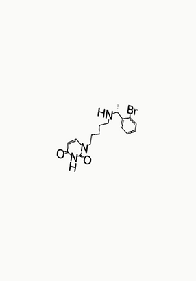 C[C@@H](NCCCCCn1ccc(=O)[nH]c1=O)c1ccccc1Br